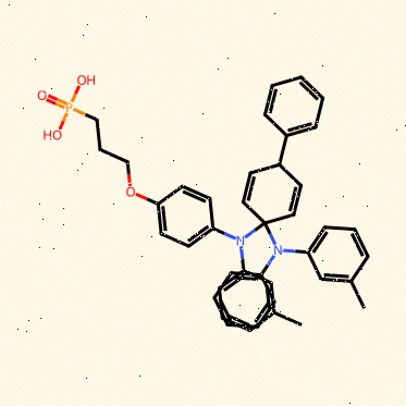 Cc1cccc(N(c2ccccc2)C2(N(c3ccc(OCCCP(=O)(O)O)cc3)c3cccc(C)c3)C=CC(c3ccccc3)C=C2)c1